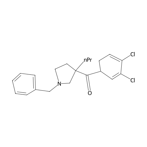 CCCC1(C(=O)C2C=C(Cl)C(Cl)=CC2)CCN(Cc2ccccc2)C1